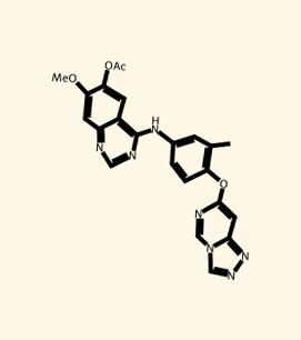 COc1cc2ncnc(Nc3ccc(Oc4cc5nncn5cn4)c(C)c3)c2cc1OC(C)=O